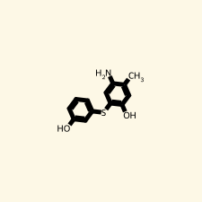 Cc1cc(O)c(Sc2cccc(O)c2)cc1N